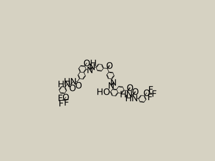 O=C(NC(=O)c1ccc2c(N=Nc3ccc(C(=O)c4ccc(N=Nc5c(O)ccc6cc(C(=O)NC(=O)Nc7cccc(OC(F)(F)F)c7)ccc56)cc4)cc3)c(O)ccc2c1)Nc1cccc(OC(F)(F)F)c1